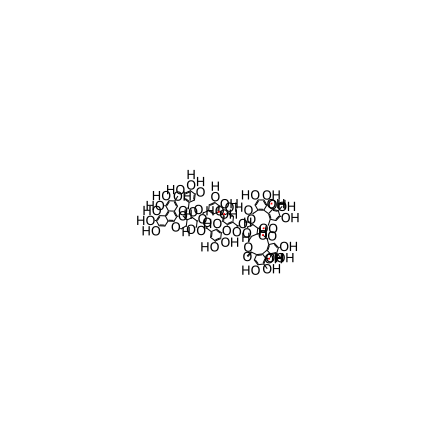 O=C(O[C@H]1O[C@@H]2COc3c(c4cc(O)c(O)c(O)c4c4c(O)c(O)c(O)cc34)O[C@H]2[C@H](OC(=O)c2cc(O)c(O)c(O)c2)[C@H]1OC(=O)c1cc(O)c(O)c(O)c1)c1cc(O)c(O)c(Oc2c(C(=O)O[C@@H]3O[C@@H]4COC(=O)c5cc(O)c(O)c(O)c5-c5c(cc(O)c(O)c5O)C(=O)O[C@H]4[C@@H]4OC(=O)c5cc(O)c(O)c(O)c5-c5c(cc(O)c(O)c5O)C(=O)O[C@@H]34)cc(O)c(O)c2O)c1